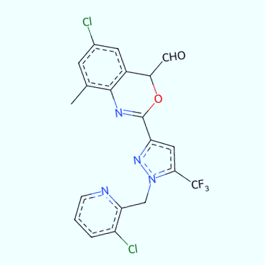 Cc1cc(Cl)cc2c1N=C(c1cc(C(F)(F)F)n(Cc3ncccc3Cl)n1)OC2C=O